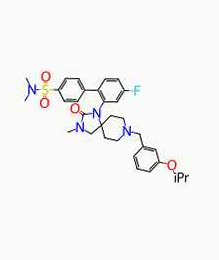 CC(C)Oc1cccc(CN2CCC3(CC2)CN(C)C(=O)N3c2cc(F)ccc2-c2ccc(S(=O)(=O)N(C)C)cc2)c1